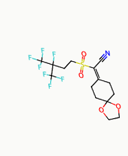 N#CC(=C1CCC2(CC1)OCCO2)S(=O)(=O)CCC(F)(C(F)(F)F)C(F)(F)F